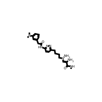 CNC(=O)/C(N)=C/N(N)CCCCc1ccc(NC(=O)Cc2cccc(N(C)C)c2)nn1